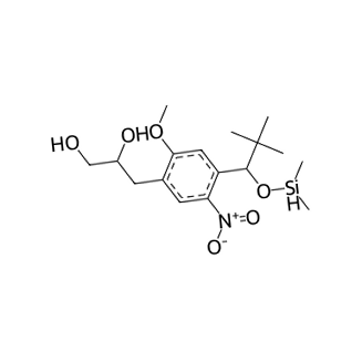 COc1cc(C(O[SiH](C)C)C(C)(C)C)c([N+](=O)[O-])cc1CC(O)CO